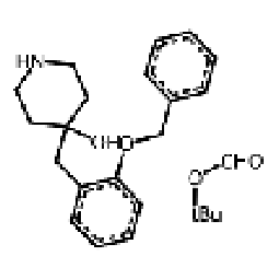 CC(C)(C)OC=O.OC1(Cc2ccccc2OCc2ccccc2)CCNCC1